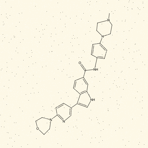 CN1CCN(c2ccc(NC(=O)c3ccc4c(-c5ccc(N6CCOCC6)nc5)c[nH]c4c3)cc2)CC1